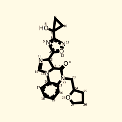 O=C1C2C(c3nc(C4(O)CC4)no3)N=CN2c2ccccc2N1CC1CCCO1